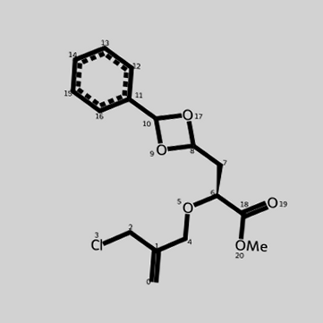 C=C(CCl)CO[C@@H](CC1OC(c2ccccc2)O1)C(=O)OC